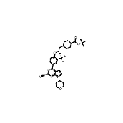 CC(C)(C)OC(=O)N1CCC(CCOc2ccc(-c3nc(C#N)nc4c3ccn4C3CCOCC3)cc2C(F)(F)F)CC1